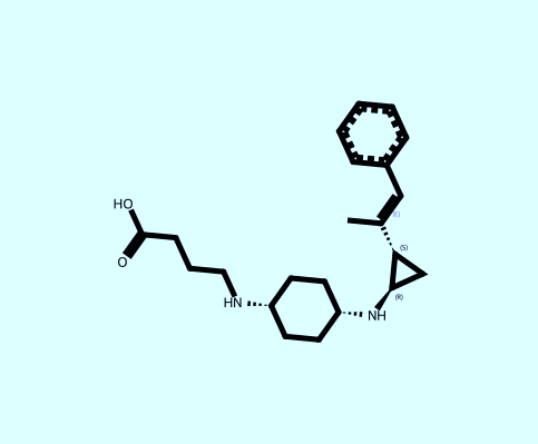 C/C(=C\c1ccccc1)[C@@H]1C[C@H]1N[C@H]1CC[C@@H](NCCCC(=O)O)CC1